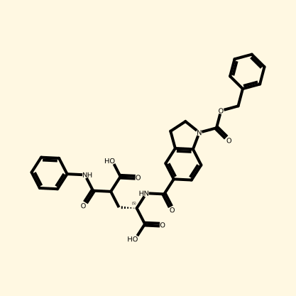 O=C(N[C@@H](CC(C(=O)O)C(=O)Nc1ccccc1)C(=O)O)c1ccc2c(c1)CCN2C(=O)OCc1ccccc1